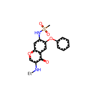 CCNc1coc2cc(NS(C)(=O)=O)c(Oc3ccccc3)cc2c1=O